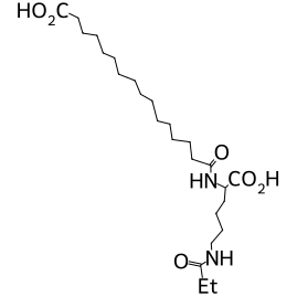 CCC(=O)NCCCCC(NC(=O)CCCCCCCCCCCCCCC(=O)O)C(=O)O